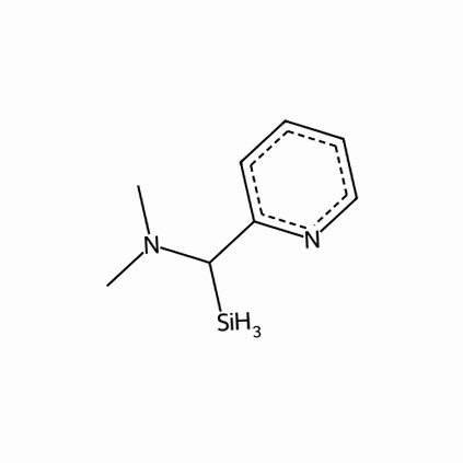 CN(C)C([SiH3])c1ccccn1